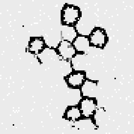 Cn1nccc1C(=O)N[C@H](C(=O)Nc1ccc(-c2c[nH]c(=O)c3[nH]ccc23)c(F)c1)C(c1ccccc1)c1ccccc1